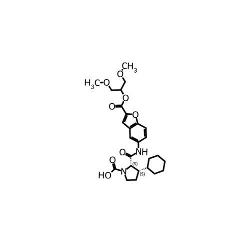 COCC(COC)OC(=O)c1cc2cc(NC(=O)[C@@H]3[C@H](C4CCCCC4)CCN3C(=O)O)ccc2o1